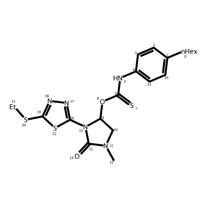 CCCCCCc1ccc(NC(=S)OC2CN(C)C(=O)N2c2nnc(SCC)s2)cc1